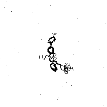 CC(c1ccc(-c2ccc(F)cc2)cc1)N1CCC(CCCOP(=O)(O)O)(c2ccccc2)OC1=O